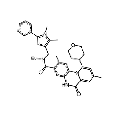 CCN(Cc1cc(-c2ccccc2)n(C)c1C)C(=O)c1cc2c(cc1C)N1C(C3CCOCC3)=C=C(C)C=C1C(=O)N2